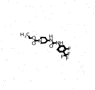 CCOC(=O)N1CCC(NC(=O)Nc2ccc(C(F)(F)F)c(F)c2)CC1